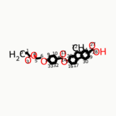 C=CC(=O)OCCOc1ccc(C(=O)Oc2ccc3c(c2)C(C)c2cc(C(=O)O)ccc2-3)cc1